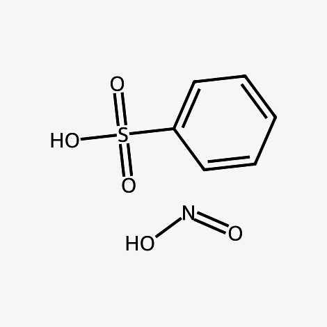 O=NO.O=S(=O)(O)c1ccccc1